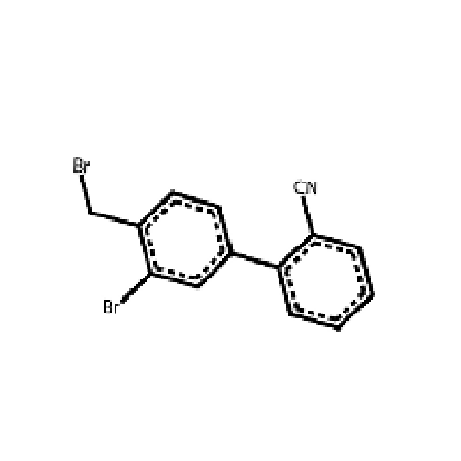 N#Cc1ccccc1-c1ccc(CBr)c(Br)c1